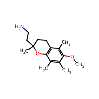 COc1c(C)c(C)c2c(c1C)CCC(C)(CCN)O2